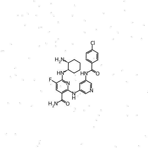 NC(=O)c1cc(F)c(N[C@@H]2CCCC[C@@H]2N)nc1Nc1cncc(NC(=O)c2ccc(Cl)cc2)c1